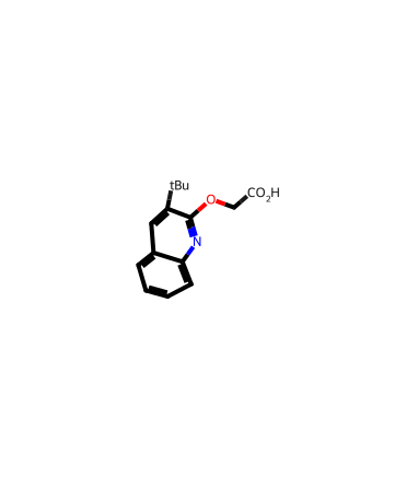 CC(C)(C)c1cc2ccccc2nc1OCC(=O)O